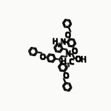 CC(O)C(Oc1ccc(OCc2ccccc2)c(N)c1)N(CCC(c1ccc(OCc2ccccc2)cc1)c1ccc(OCc2ccccc2)cc1)Cc1ccccc1